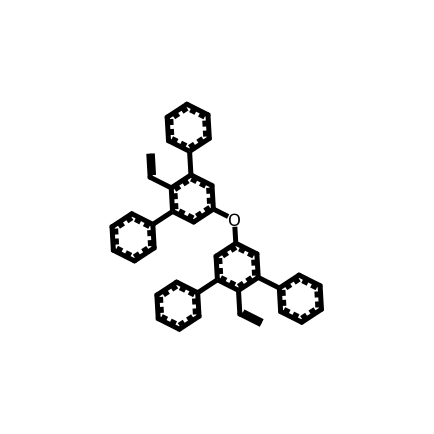 C=Cc1c(-c2ccccc2)cc(Oc2cc(-c3ccccc3)c(C=C)c(-c3ccccc3)c2)cc1-c1ccccc1